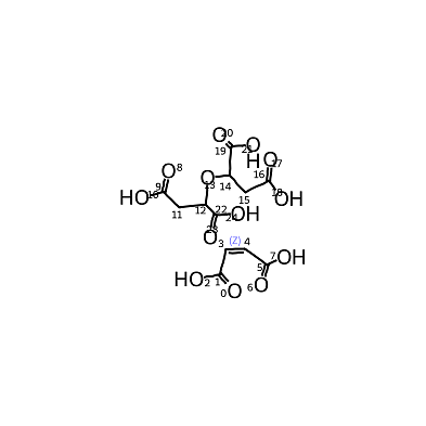 O=C(O)/C=C\C(=O)O.O=C(O)CC(OC(CC(=O)O)C(=O)O)C(=O)O